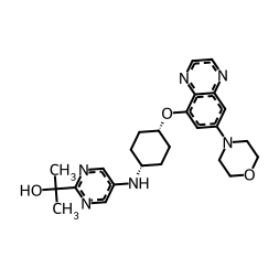 CC(C)(O)c1ncc(N[C@H]2CC[C@@H](Oc3cc(N4CCOCC4)cc4nccnc34)CC2)cn1